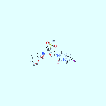 C[C@@](CCN1Cc2cc(I)cn2C1=O)(C(=O)NOC1CCCCO1)S(C)(=O)=O